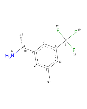 Cc1cc([C@@H](C)N)cc(C(F)(F)F)c1